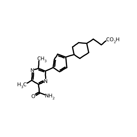 Cc1nc(C)c(-c2ccc(C3CCC(CCC(=O)O)CC3)cc2)nc1C(N)=O